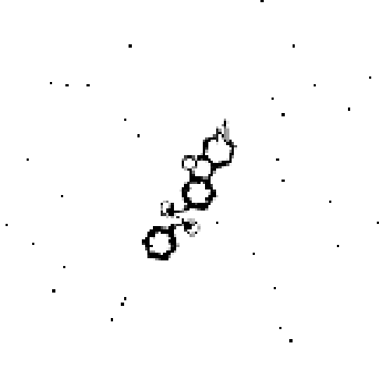 CN1CCC2c3ccc(S(=O)(=O)c4ccccc4)cc3OC2C1